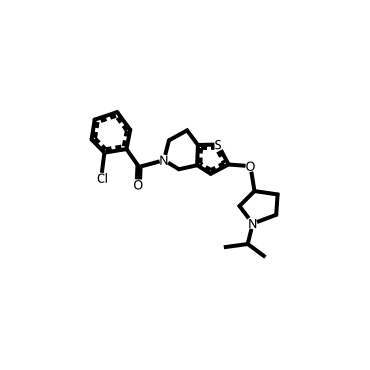 CC(C)N1CCC(Oc2cc3c(s2)CCN(C(=O)c2ccccc2Cl)C3)C1